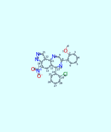 COc1ccccc1-c1cnc2c(cc([N+](=O)[O-])c3nncc32)c(-c2ccccc2Cl)n1